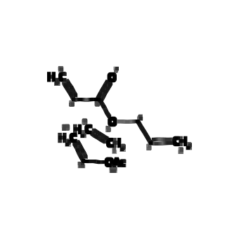 C=C.C=CCOC(=O)C=C.C=COC(C)=O